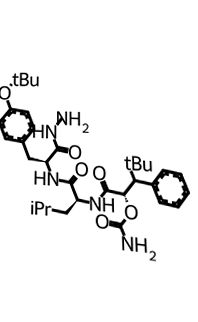 CC(C)C[C@H](NC(=O)[C@@H](OC(N)=O)C(c1ccccc1)C(C)(C)C)C(=O)N[C@@H](Cc1ccc(OC(C)(C)C)cc1)C(=O)NN